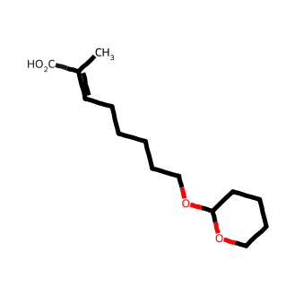 CC(=CCCCCCOC1CCCCO1)C(=O)O